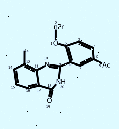 CCCOc1ccc(C(C)=O)cc1-c1nc2c(C)cccc2c(=O)[nH]1